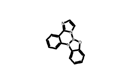 c1ccc2c(c1)OB1N2c2ccccc2-c2nccn21